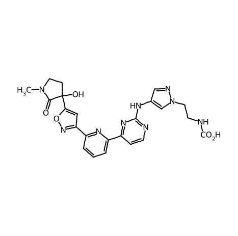 CN1CCC(O)(c2cc(-c3cccc(-c4ccnc(Nc5cnn(CCNC(=O)O)c5)n4)n3)no2)C1=O